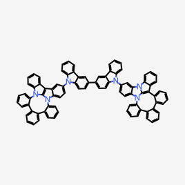 c1ccc2c(c1)c1ccccc1c1c3ccccc3n3c4cc(-n5c6ccccc6c6cc(-c7ccc8c(c7)c7ccccc7n8-c7ccc8c(c7)c7c9ccccc9n9c%10ccccc%10c%10ccccc%10c%10ccccc%10n8c79)ccc65)ccc4n(c4ccccc24)c13